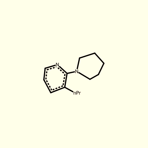 CCCc1cccnc1N1CCCCC1